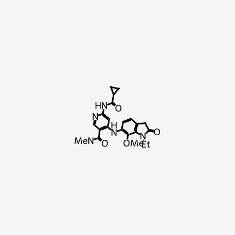 CCN1C(=O)Cc2ccc(Nc3cc(NC(=O)C4CC4)ncc3C(=O)NC)c(OC)c21